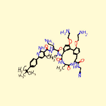 Cc1cc(-c2ccc(C(C)(C)C)cc2)nc(N)c1C(=O)NC(CCN)C(=O)N(C)C1C(=O)NC(C)C(=O)NC(C(=O)NCC#N)Cc2ccc(OCCN)c(c2)-c2cc1ccc2OCCN